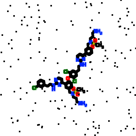 CS(=O)(=O)N(CCCN)Cc1cccc(-c2ccnc(NCCc3cc(Cl)c(Oc4ccc(CN(CCCN)S(C)(=O)=O)cc4-c4ccnc(NCCc5cccc(Cl)c5)n4)c(Cl)c3)n2)c1